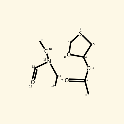 CC(=O)OC1CSCO1.CCN(C=O)CC